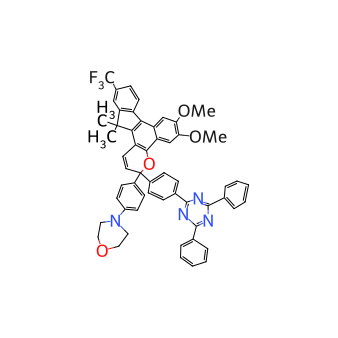 COc1cc2c3c(c4c(c2cc1OC)-c1ccc(C(F)(F)F)cc1C4(C)C)C=CC(c1ccc(-c2nc(-c4ccccc4)nc(-c4ccccc4)n2)cc1)(c1ccc(N2CCOCC2)cc1)O3